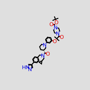 CC(C)(C)OC(=O)N1CCN(C(=O)C(C)(C)Oc2cccc(N3CCC[C@@H](C(=O)N(Cc4ccc(-c5cn[nH]c5)cc4)CC4CC4)C3)c2)CC1